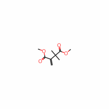 C=C(C(=O)OC)C(C)(C)C(=O)OC